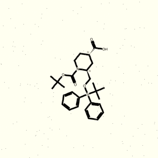 CC(C)(C)OC(=O)N1CC[C@H](C(=O)O)C[C@H]1CO[Si](c1ccccc1)(c1ccccc1)C(C)(C)C